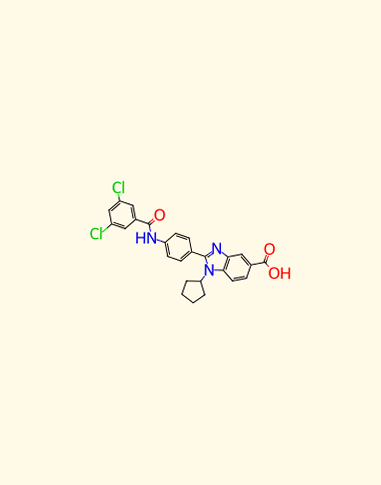 O=C(O)c1ccc2c(c1)nc(-c1ccc(NC(=O)c3cc(Cl)cc(Cl)c3)cc1)n2C1CCCC1